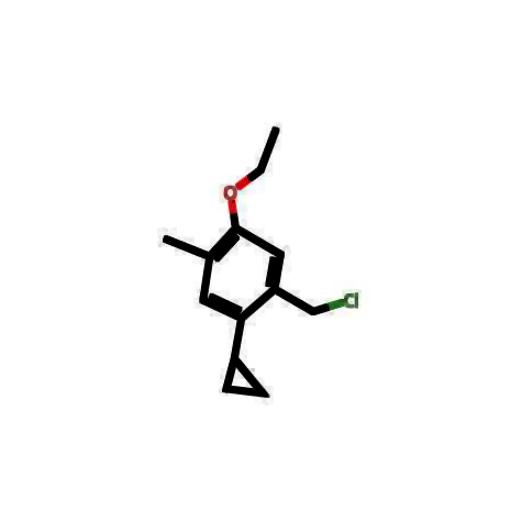 CCOc1cc(CCl)c(C2CC2)cc1C